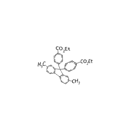 CCOC(=O)c1ccc(C2(c3ccc(C(=O)OCC)cc3)c3cc(C)ccc3-c3ccc(C)cc32)cc1